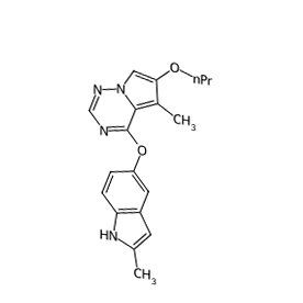 CCCOc1cn2ncnc(Oc3ccc4[nH]c(C)cc4c3)c2c1C